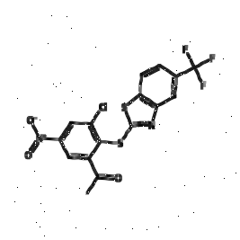 CC(=O)c1cc([N+](=O)[O-])cc(Cl)c1Sc1nc2cc(C(F)(F)F)ccc2s1